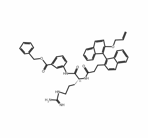 C=CCOc1ccc2ccccc2c1-c1c(CCC(=O)N[C@H](CCCNC(=N)N)C(=O)Nc2cccc(C(=O)OCc3ccccc3)c2)ccc2ccccc12